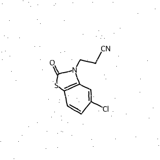 N#CCCn1c(=O)sc2ccc(Cl)cc21